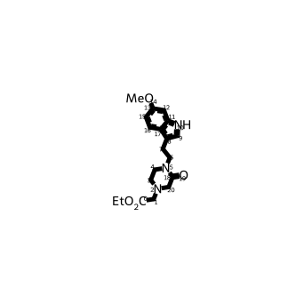 CCOC(=O)CN1CCN(CCc2c[nH]c3cc(OC)ccc23)C(=O)C1